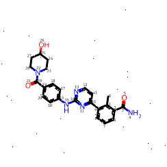 Cc1c(C(N)=O)cccc1-c1ccnc(Nc2ccc(C(=O)N3CCC(O)CC3)cc2)n1